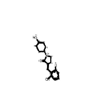 O=C1C(Cc2c(Cl)cccc2Cl)CCN1C1CCC(O)CC1